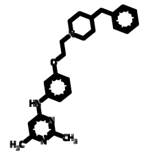 Cc1cc(Nc2cccc(OCCN3CCC(Cc4ccccc4)CC3)c2)nc(C)n1